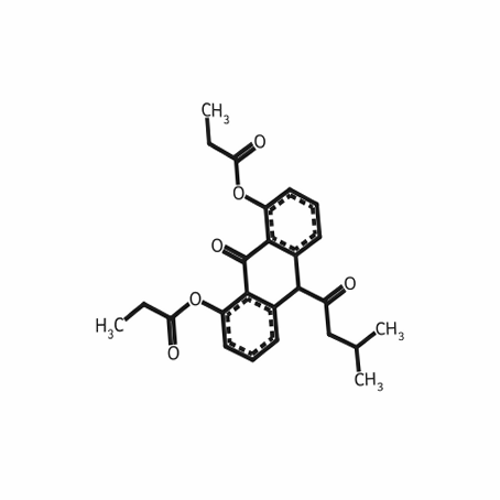 CCC(=O)Oc1cccc2c1C(=O)c1c(OC(=O)CC)cccc1C2C(=O)CC(C)C